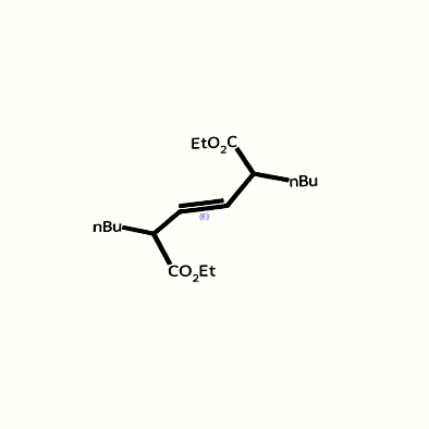 CCCCC(/C=C/C(CCCC)C(=O)OCC)C(=O)OCC